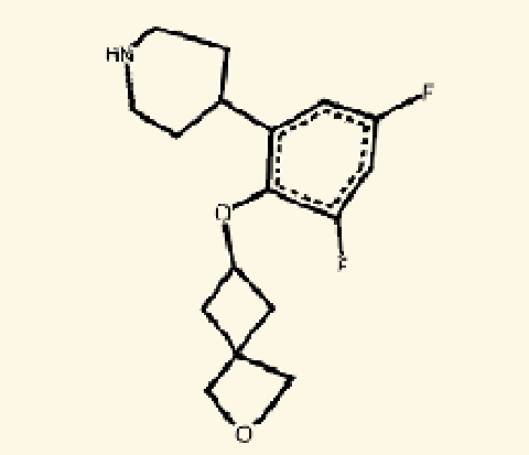 Fc1cc(F)c(OC2CC3(COC3)C2)c(C2CCNCC2)c1